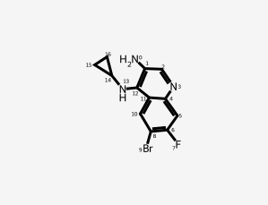 Nc1cnc2cc(F)c(Br)cc2c1NC1CC1